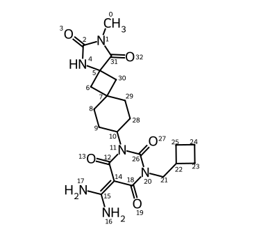 CN1C(=O)NC2(CC3(CCC(N4C(=O)C(=C(N)N)C(=O)N(CC5CCC5)C4=O)CC3)C2)C1=O